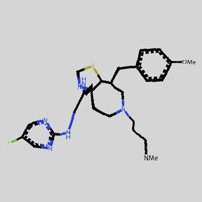 CNCCCN1CCC23C=C(Nc4ncc(F)cn4)NN2CSC3C(Cc2ccc(OC)cc2)C1